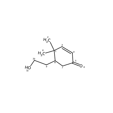 CC1(C)C=CC(=O)CC1CCO